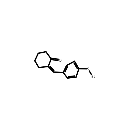 CCSc1ccc(/C=C2/CCCCC2=O)cc1